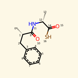 C[C@@H](Cc1ccccc1)C(=O)N[C@H](C)C(=O)S